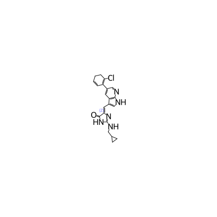 O=C1NC(NCC2CC2)=N/C1=C\c1c[nH]c2ncc(C3=C(Cl)CCC=C3)cc12